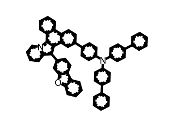 c1ccc(-c2ccc(N(c3ccc(-c4ccccc4)cc3)c3ccc(-c4ccc5c6ccccc6c6c(c(-c7ccc8c(c7)oc7ccccc78)c7ccccn76)c5c4)cc3)cc2)cc1